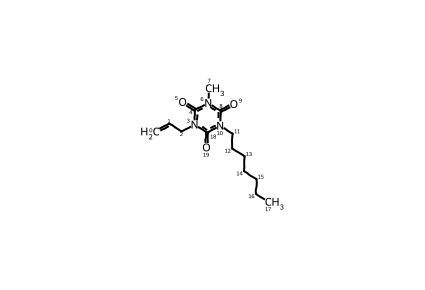 C=CCn1c(=O)n(C)c(=O)n(CCCCCCC)c1=O